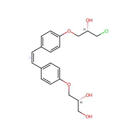 OC[C@@H](O)COc1ccc(/C=C\c2ccc(OC[C@H](O)CCl)cc2)cc1